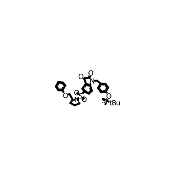 CC(C)(C)[Si](C)(C)Oc1ccc(CN2C(=O)C(=O)c3cc(S(=O)(=O)N4CCCC4COc4ccccc4)ccc32)cc1